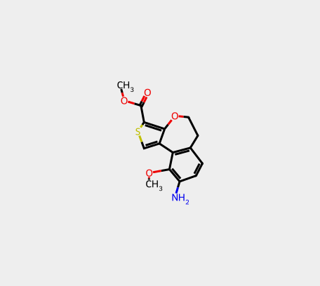 COC(=O)c1scc2c1OCCc1ccc(N)c(OC)c1-2